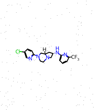 FC(F)(F)c1cccc(N[C@H]2C[C@H]3CN(c4ccc(Cl)cn4)CCN3C2)n1